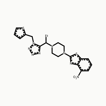 CCC(c1nnnn1Cc1cccs1)N1CCN(c2nc3c([N+](=O)[O-])cccc3s2)CC1